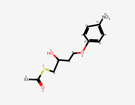 CCC(=O)SCC(O)CCOc1ccc([N+](=O)[O-])cc1